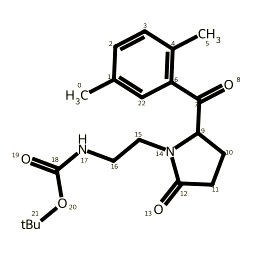 Cc1ccc(C)c(C(=O)C2CCC(=O)N2CCNC(=O)OC(C)(C)C)c1